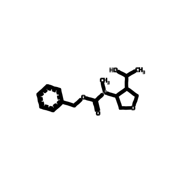 CC(O)C1COCC1N(C)C(=O)OCc1ccccc1